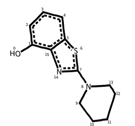 Oc1cccc2sc(N3CCCCC3)nc12